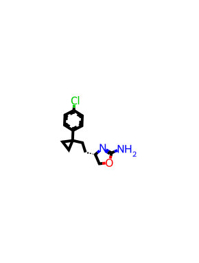 NC1=N[C@@H](CCC2(c3ccc(Cl)cc3)CC2)CO1